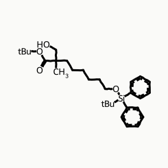 CC(C)(C)OC(=O)C(C)(CO)CCCCCCO[Si](c1ccccc1)(c1ccccc1)C(C)(C)C